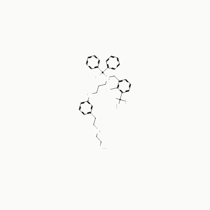 CCCNCCc1cccc(OCCCN(Cc2cccc(C(F)(F)F)c2Cl)C(C)(c2ccccc2)c2ccccc2)c1